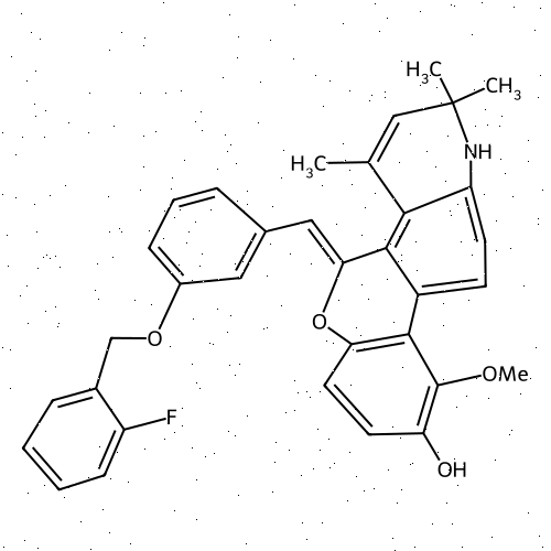 COc1c(O)ccc2c1-c1ccc3c(c1/C(=C/c1cccc(OCc4ccccc4F)c1)O2)C(C)=CC(C)(C)N3